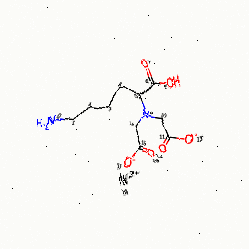 NCCCCC(C(=O)O)N(CC(=O)[O-])CC(=O)[O-].[Ni+2]